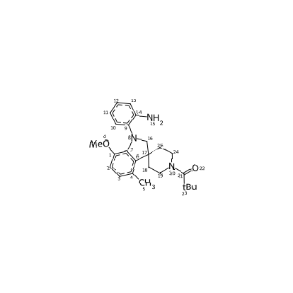 COc1ccc(C)c2c1N(c1ccccc1N)CC21CCN(C(=O)C(C)(C)C)CC1